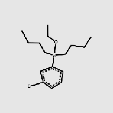 CCCC[Si](CCCC)(OCC)c1cccc(Br)c1